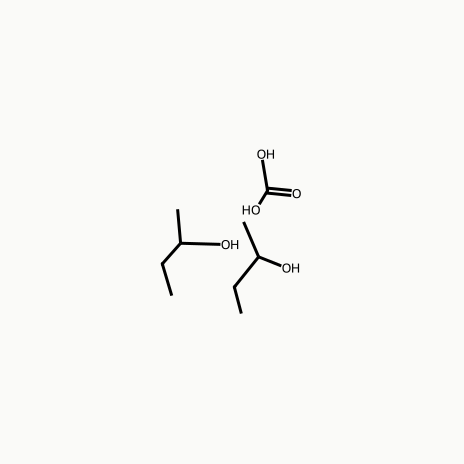 CCC(C)O.CCC(C)O.O=C(O)O